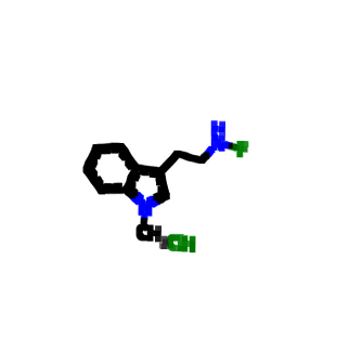 Cl.Cn1cc(CCNF)c2ccccc21